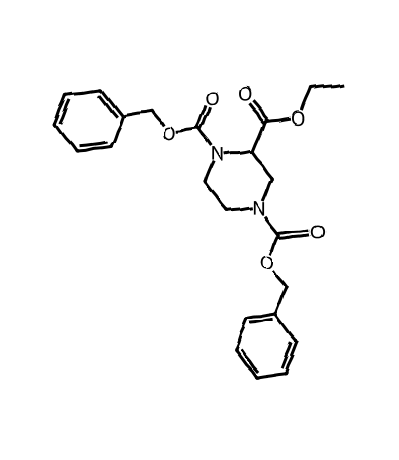 CCOC(=O)C1CN(C(=O)OCc2ccccc2)CCN1C(=O)OCc1ccccc1